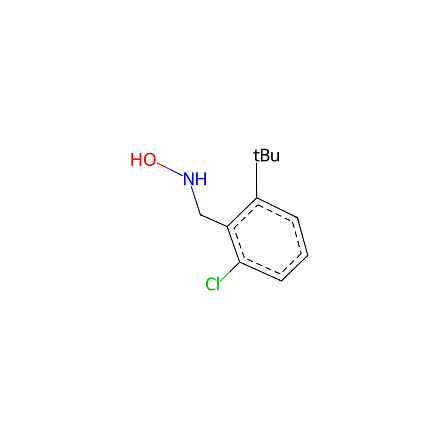 CC(C)(C)c1cccc(Cl)c1CNO